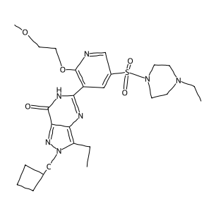 CCc1c2nc(-c3cc(S(=O)(=O)N4CCN(CC)CC4)cnc3OCCOC)[nH]c(=O)c2nn1CC1CCC1